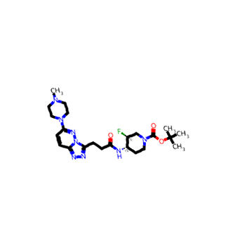 CN1CCN(c2ccc3nnc(CCC(=O)N[C@H]4CCN(C(=O)OC(C)(C)C)C[C@@H]4F)n3n2)CC1